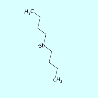 CCC[CH2][Sb][CH2]CCC